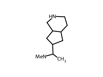 CNC(C)C1CC2CCNCC2C1